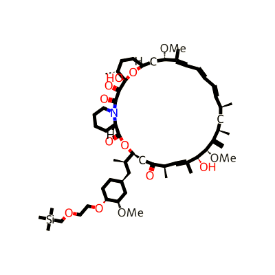 C=C1[C@H](C)C[C@H](C)/C=C/C=C/C=C(\C)[C@@H](OC)C[C@@H]2CC[C@@H](C)[C@@](O)(O2)C(=O)C(=O)N2CCCC[C@H]2C(=O)O[C@H]([C@H](C)C[C@@H]2CC[C@@H](OCCOC[Si](C)(C)C)[C@H](OC)C2)CC(=O)[C@H](C)/C=C(\C)[C@@H](O)[C@H]1OC